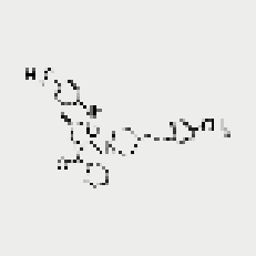 Cc1ccc(CCC2CCN(CCN(Cc3cc4cc(C)ccc4[nH]c3=O)C(=O)C3CCCCC3)CC2)cc1